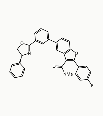 CNC(=O)c1c(-c2ccc(F)cc2)oc2ccc(-c3cccc(C4=N[C@@H](c5ccccc5)CO4)c3)cc12